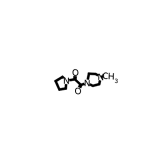 CN1CCN(C(=O)C(=O)N2CCCC2)CC1